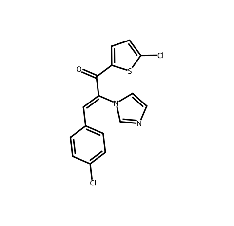 O=C(C(=Cc1ccc(Cl)cc1)n1ccnc1)c1ccc(Cl)s1